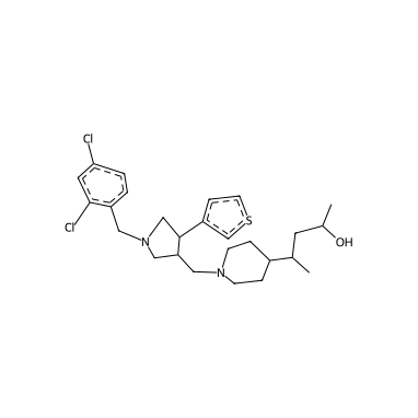 CC(O)CC(C)C1CCN(CC2CN(Cc3ccc(Cl)cc3Cl)CC2c2ccsc2)CC1